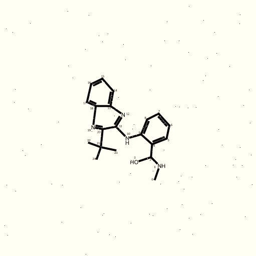 CNC(O)c1ccccc1Nc1nc2ccccc2nc1C(C)(C)C